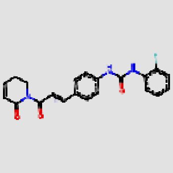 O=C(Nc1ccc(/C=C/C(=O)N2CCC=CC2=O)cc1)Nc1ccccc1F